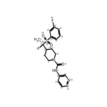 C[C@@](F)(C1CCN(C(=O)Nc2ccnnc2)CC1)S(=O)(=O)c1cccc(F)c1